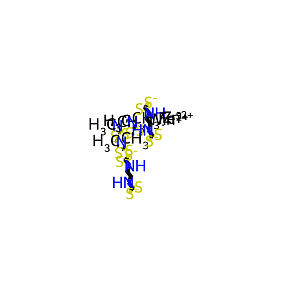 CN(C)C(=S)[S-].CN(C)C(=S)[S-].CN(C)C(=S)[S-].S=C([S-])NCCNC(=S)[S-].S=C([S-])NCCNC(=S)[S-].[Fe+3].[Mn+2].[Zn+2]